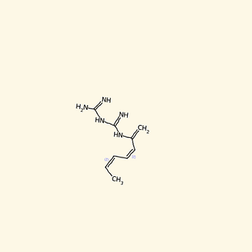 C=C(/C=C\C=C/C)NC(=N)NC(=N)N